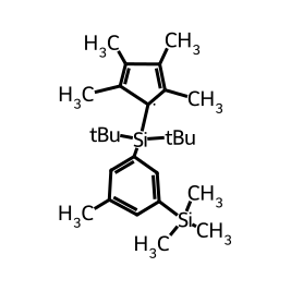 CC1=C(C)C(C)=C(C)[C]1[Si](c1cc(C)cc([Si](C)(C)C)c1)(C(C)(C)C)C(C)(C)C